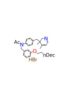 Br.CCCCCCCCCCCCOc1cccc(CN(C(C)=O)c2ccc(CC3(C)CN=CC=C3C)cc2)c1